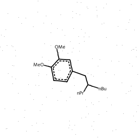 CCCCC(CCC)Cc1ccc(OC)c(OC)c1